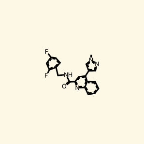 Cn1cc(-c2cc(C(=O)NCc3ccc(F)cc3F)nc3ccccc23)cn1